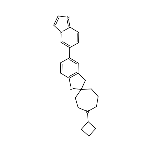 c1cn2cc(-c3ccc4c(c3)CC3(CCCN(C5CCC5)CC3)O4)ccc2n1